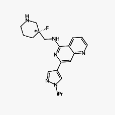 CC(C)n1cc(-c2cc3ncccc3c(NC[C@@]3(F)CCCNC3)n2)cn1